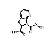 CC(C)(C)OC(=O)N1c2ncccc2CC1C(N)=O